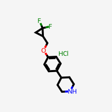 Cl.FC1(F)CC1COc1ccc(C2CCNCC2)cc1